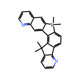 CC1(C)c2cccnc2-c2ccc3c(c21)-c1cc2ncccc2cc1[Si]3(C)C